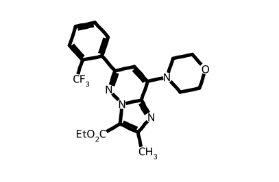 CCOC(=O)c1c(C)nc2c(N3CCOCC3)cc(-c3ccccc3C(F)(F)F)nn12